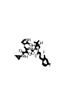 CC1(C)[C@@H]2[C@@H](C(=O)NC(C[C@@H]3CCNC3=O)C(=O)C(=O)NC3CC3)N(C(=O)/C=C/c3ccc(F)cc3F)C[C@@H]21